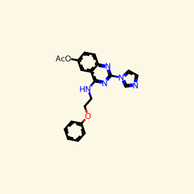 CC(=O)Oc1ccc2nc(-n3ccnc3)nc(NCCOc3ccccc3)c2c1